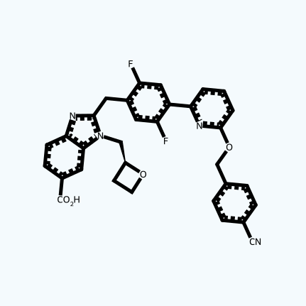 N#Cc1ccc(COc2cccc(-c3cc(F)c(Cc4nc5ccc(C(=O)O)cc5n4C[C@@H]4CCO4)cc3F)n2)cc1